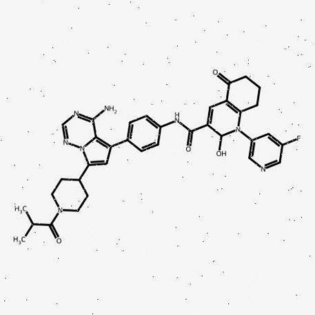 CC(C)C(=O)N1CCC(c2cc(-c3ccc(NC(=O)C4=CC5=C(CCCC5=O)N(c5cncc(F)c5)C4O)cc3)c3c(N)ncnn23)CC1